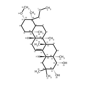 COC[C@@]1(C)C2CC[C@]3(C)[C@H](CC=C4[C@H]5CC(C)(C)[C@@H](O)[C@@H](O)[C@]5(C)CC[C@]43C)[C@@]2(C)CC[C@@H]1OC